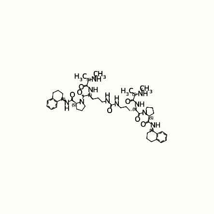 CN[C@@H](C)C(=O)N[C@@H](CCCNC(=O)NCCC[C@H](NC(=O)[C@H](C)NC)C(=O)N1CCC[C@H]1C(=O)N[C@@H]1CCCc2ccccc21)C(=O)N1CCC[C@H]1C(=O)N[C@@H]1CCCc2ccccc21